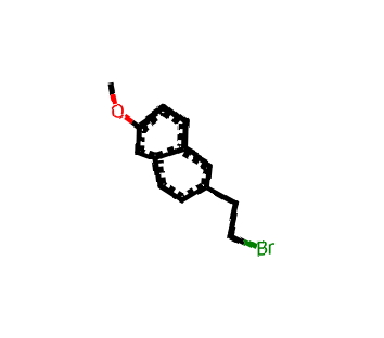 COc1ccc2cc(CCBr)ccc2c1